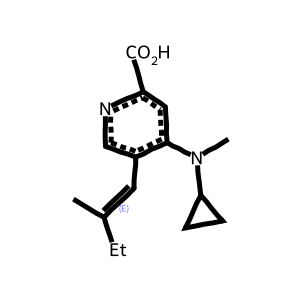 CC/C(C)=C/c1cnc(C(=O)O)cc1N(C)C1CC1